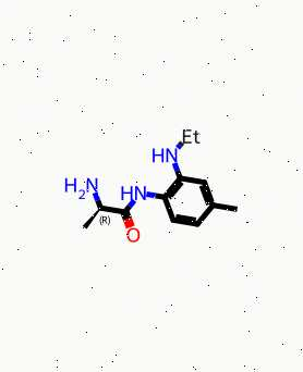 CCNc1cc(C)ccc1NC(=O)[C@@H](C)N